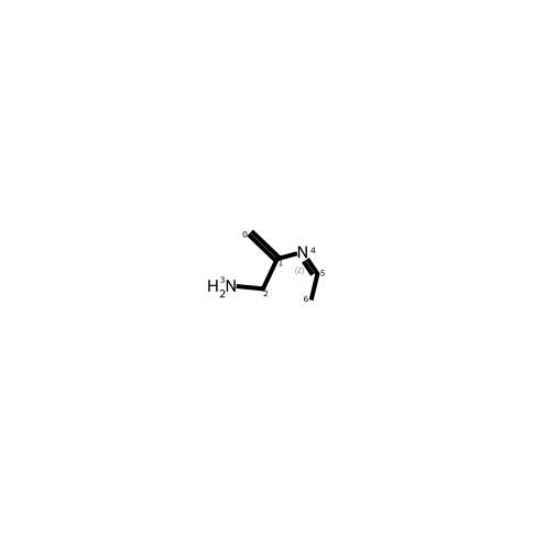 C=C(CN)/N=C\C